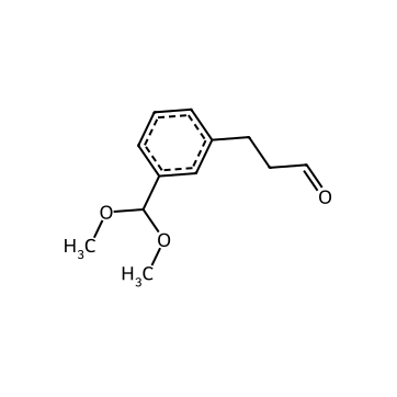 COC(OC)c1cccc(CCC=O)c1